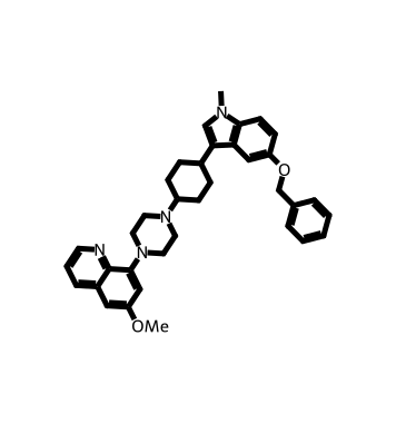 COc1cc(N2CCN(C3CCC(c4cn(C)c5ccc(OCc6ccccc6)cc45)CC3)CC2)c2ncccc2c1